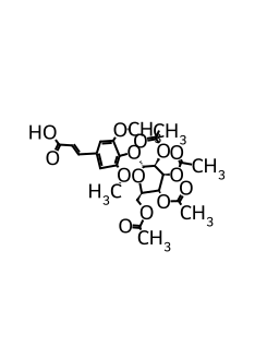 COc1cc(C=CC(=O)O)cc(OC)c1O[C@H]1O[C@H](COC(C)=O)[C@@H](OC(C)=O)[C@H](OC(C)=O)[C@@H]1OC(C)=O